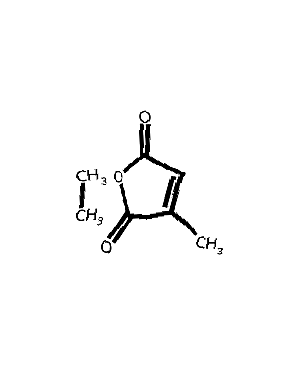 CC.CC1=CC(=O)OC1=O